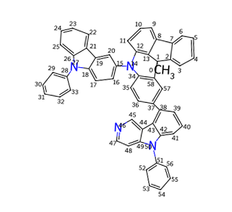 CC12c3ccccc3-c3cccc(c31)N(c1ccc3c(c1)c1ccccc1n3-c1ccccc1)c1ccc(-c3cccc4c3c3cnccc3n4-c3ccccc3)cc12